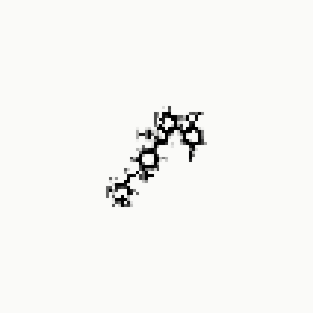 COc1ccc(F)cc1-c1ccnc2[nH]c(C3=CCC(NCc4cncnc4)CC3)cc12